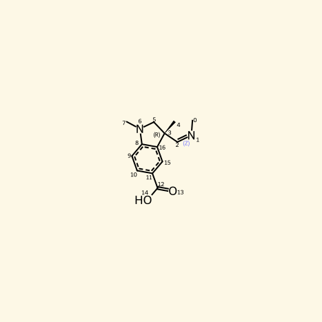 C/N=C\[C@@]1(C)CN(C)c2ccc(C(=O)O)cc21